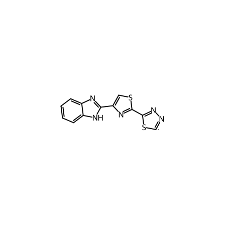 [c]1nnc(-c2nc(-c3nc4ccccc4[nH]3)cs2)s1